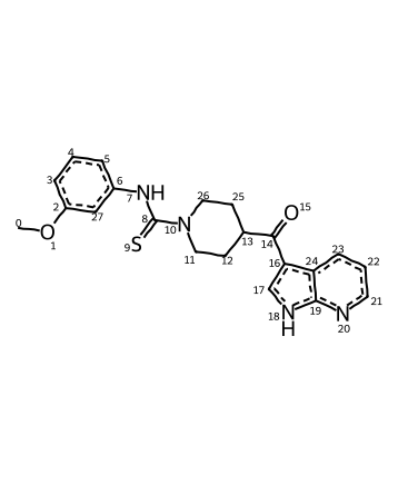 COc1cccc(NC(=S)N2CCC(C(=O)c3c[nH]c4ncccc34)CC2)c1